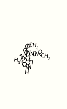 C=CC(=O)N1CCN(c2nc(O[C@@H]3CCN(C)C3)nc3c(OC4CC4)c(-c4c(C)ccc5[nH]ncc45)c(Cl)cc23)CC1